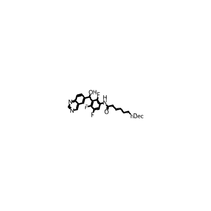 CCCCCCCCCCCCCCCC(=O)Nc1cc(F)c(F)c(C(O)c2ccc3ncncc3c2)c1F